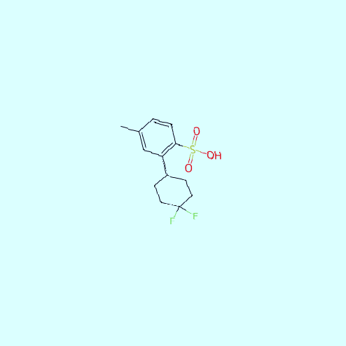 Cc1ccc(S(=O)(=O)O)c(C2CCC(F)(F)CC2)c1